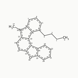 CCCCc1cccc2c1c1c3c(ccc1n2C)oc1ccccc13